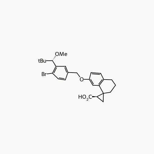 CO[C@H](c1cc(COc2ccc3c(c2)C2(CCC3)C[C@H]2C(=O)O)ccc1Br)C(C)(C)C